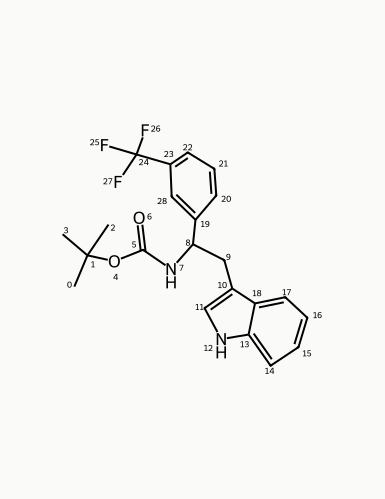 CC(C)(C)OC(=O)NC(Cc1c[nH]c2ccccc12)c1cccc(C(F)(F)F)c1